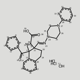 Cl.Cl.Cl.NC1(C(=O)c2ccccc2)c2ccccc2CCC1(C=NN1CCN(c2ccccn2)CC1)CC(=O)O